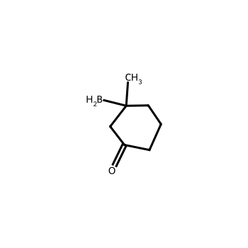 BC1(C)CCCC(=O)C1